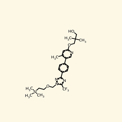 Cc1cc(OCC(C)(C)CO)ncc1-c1ccc(-c2nc(C(F)(F)F)n(COCC[Si](C)(C)C)n2)cc1